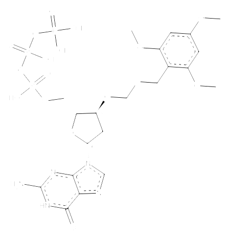 COc1cc(OC)c(CSCO[C@H]2C[C@H](n3cnc4c(=O)[nH]c(N)nc43)O[C@@H]2COP(=O)(O)OP(=O)(O)OP(=O)(O)O)c(OC)c1